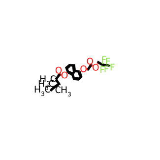 CCC(C)(C)CC(C)C(=O)Oc1cccc2c(OCC(=O)OCC(F)(F)C(F)(F)F)cccc12